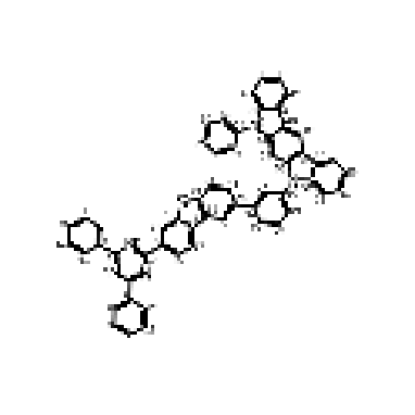 c1ccc(-c2nc(-c3ccccc3)nc(-c3ccc4c(c3)sc3ccc(-c5cccc(-n6c7ccccc7c7cc8c9ccccc9n(-c9ccccc9)c8cc76)c5)cc34)n2)cc1